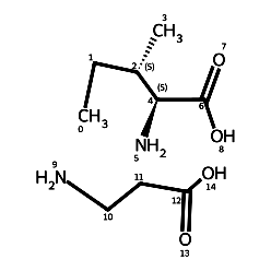 CC[C@H](C)[C@H](N)C(=O)O.NCCC(=O)O